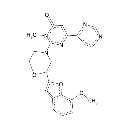 COc1cccc2cc(C3CN(c4nc(-c5ccncn5)cc(=O)n4C)CCO3)oc12